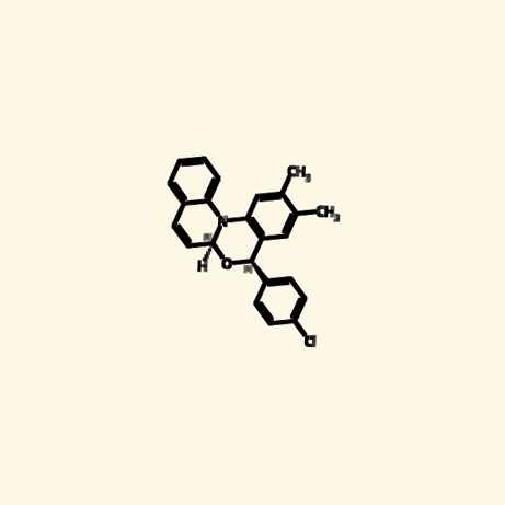 Cc1cc2c(cc1C)N1c3ccccc3C=C[C@@H]1O[C@@H]2c1ccc(Cl)cc1